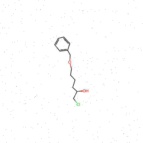 O[C@@H](CCl)CCCCOCc1ccccc1